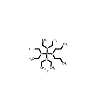 CCCN(CCC)[P+](N(CC)CC)(N(CC)CC)N(CC)CC.[I-]